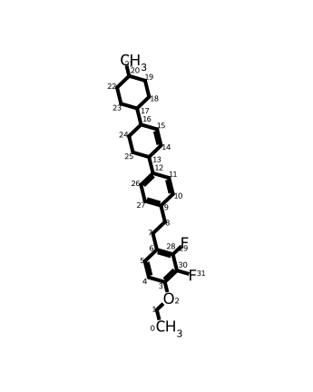 CCOc1ccc(CCc2ccc(C3C=CC(C4CCC(C)CC4)CC3)cc2)c(F)c1F